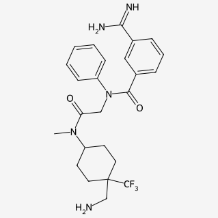 CN(C(=O)CN(C(=O)c1cccc(C(=N)N)c1)c1ccccc1)C1CCC(CN)(C(F)(F)F)CC1